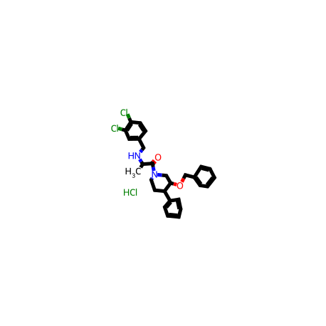 CC(NCc1ccc(Cl)c(Cl)c1)C(=O)N1CCC(c2ccccc2)C(OCc2ccccc2)C1.Cl